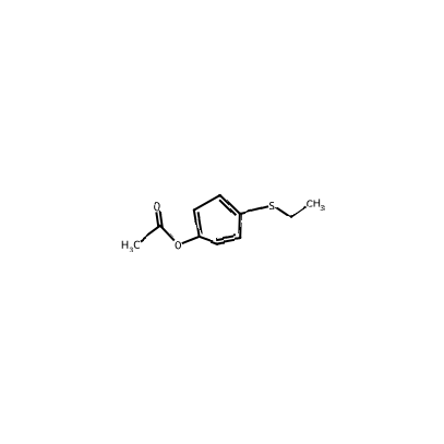 CCSc1ccc(OC(C)=O)cc1